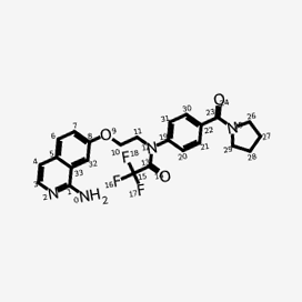 Nc1nccc2ccc(OCCN(C(=O)C(F)(F)F)c3ccc(C(=O)N4CCCC4)cc3)cc12